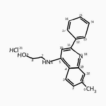 Cc1ccc2c(NCCO)cc(-c3ccccc3)nc2c1.Cl